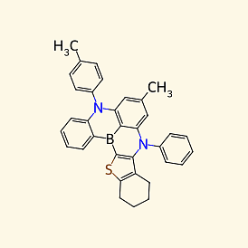 Cc1ccc(N2c3ccccc3B3c4sc5c(c4N(c4ccccc4)c4cc(C)cc2c43)CCCC5)cc1